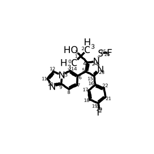 CC(C)(O)c1c(-c2ccc3nccn3c2)c(-c2ccc(F)cc2)nn1SF